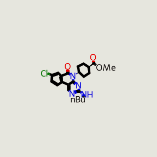 CCCCNc1ncc2c3ccc(Cl)cc3c(=O)n([C@H]3CC[C@H](C(=O)OC)CC3)c2n1